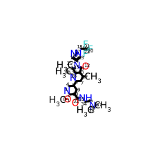 COC1N=CC(C2CC(C)C3C(=O)N(c4cnn(CC(F)(F)F)c4)C(C)(C)C3=N2)CC1C(=O)NCCN(C)C